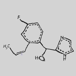 C/C=C\c1cc(F)ccc1C(O)c1ncc[nH]1